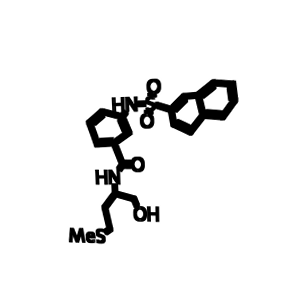 CSCCC(CO)NC(=O)c1cccc(NS(=O)(=O)c2ccc3ccccc3c2)c1